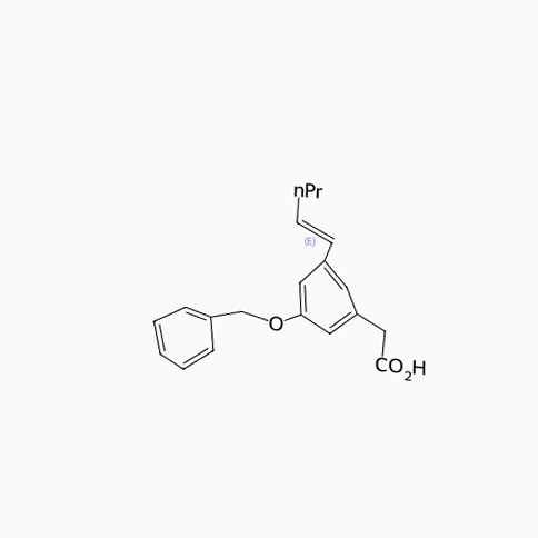 CCC/C=C/c1cc(CC(=O)O)cc(OCc2ccccc2)c1